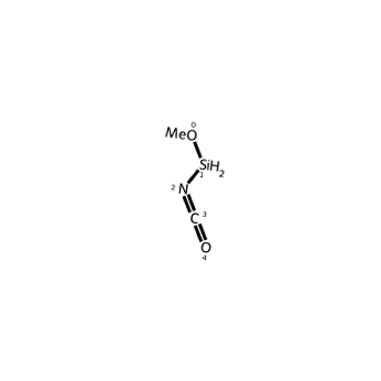 CO[SiH2]N=C=O